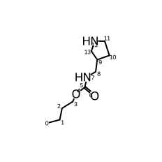 CCCCOC(=O)NCC1CCNC1